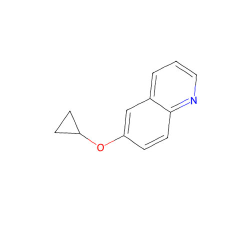 c1cnc2ccc(OC3CC3)cc2c1